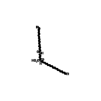 CCC=CCC=CCC=CCC=CCC=CCC=CCCC(=O)N[C@@H](CCCCNC(=O)CCCC=CCC=CCC=CCC=CCC=CCC)C(=O)O